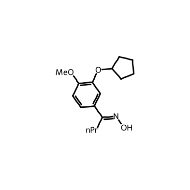 CCCC(=NO)c1ccc(OC)c(OC2CCCC2)c1